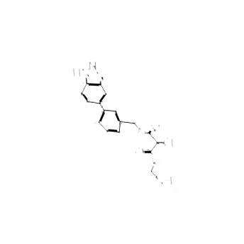 CC(C(=O)OCN)C(=O)OCc1cccc(-c2ccc3[nH]nnc3c2)c1